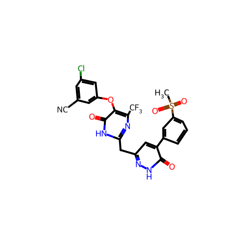 CS(=O)(=O)c1cccc(-c2cc(Cc3nc(C(F)(F)F)c(Oc4cc(Cl)cc(C#N)c4)c(=O)[nH]3)n[nH]c2=O)c1